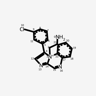 NCC[N+]12C(c3cccc(Cl)c3)=CN=C1C=Nc1ccccc12